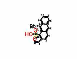 C=Cc1ccc2cc3ccccc3cc2c1S(=O)(=O)O.[Rb]